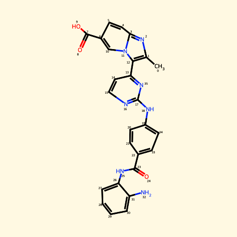 Cc1nc2ccc(C(=O)O)cn2c1-c1ccnc(Nc2ccc(C(=O)Nc3ccccc3N)cc2)n1